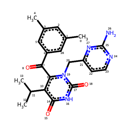 Cc1cc(C)cc(C(=O)c2c(C(C)C)c(=O)[nH]c(=O)n2Cc2ccnc(N)n2)c1